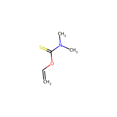 C=COC(=S)N(C)C